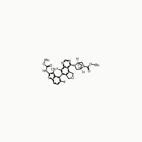 CC(C)(C)OC(=O)Nc1sc2ccc(F)c(-c3c4c(c5c(N6C[C@H]7C[C@@H]6CN7C(=O)OC(C)(C)C)ncnc5c3F)COC4)c2c1C#N